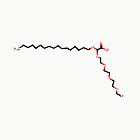 CCCCCCCCCCCCCCCCCOC(OCCOCCOCCOCC)C(=O)O